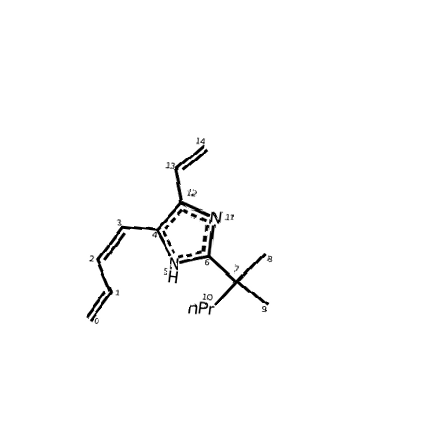 C=C/C=C\c1[nH]c(C(C)(C)CCC)nc1C=C